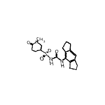 CN1CC(S(=O)(=O)NC(=O)Nc2c3c(cc4c2CCC4)CCC3)CCC1=O